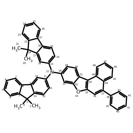 CC1(C)c2ccccc2-c2cc(N(c3ccc4c(c3)C(C)(C)c3ccccc3-4)c3ccc4c(c3)oc3cc(-c5ccccc5)c5ccccc5c34)ccc21